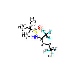 CC(C)(C)[S@@+]([O-])N[C@@H](CCC(F)(F)F)C(F)(F)F